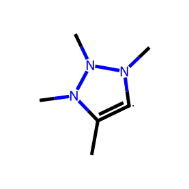 CC1=[C]N(C)N(C)N1C